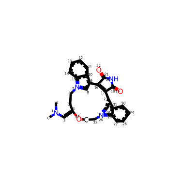 CN(C)/C=C1\CCn2cc(c3ccccc32)C2=C(C(=O)NC2=O)c2cn(c3ccccc23)CCO1